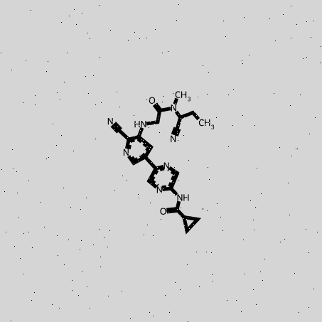 CCC(C#N)N(C)C(=O)CNc1cc(-c2cnc(NC(=O)C3CC3)cn2)cnc1C#N